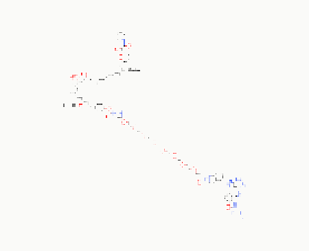 CO[C@@H](CC1CCCC(C(=O)C(=O)N2CCCCC2)O1)/C(C)=C/C=C/C=C/[C@@H](C)C[C@@H](C)C(=O)C[C@H](O)/C(C)=C/[C@@H](C)CC[C@@H](CC[C@H]1CC[C@H](OC(=O)NCCOCCOCCOCCOCCOCCOCCOCCOCCC(=O)N2CCc3cc(Cn4nc(-c5ccc6oc(N)nc6c5)c5c(N(C)C)ncnc54)ccc3C2)CC1)OC=O